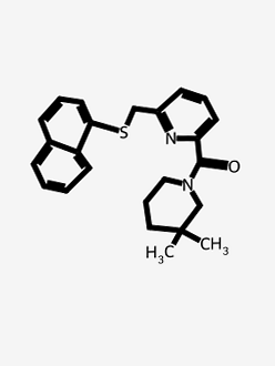 CC1(C)CCCN(C(=O)c2cccc(CSc3cccc4ccccc34)n2)C1